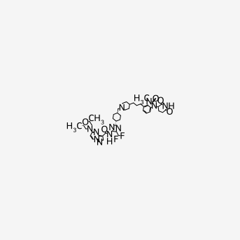 C[C@H]1CN(c2ccn3ncc(C(=O)NC4=NC([C@H]5CC[C@H](CN6CCC(CCCc7cccc8c7n(C)c(=O)n8C7CCC(=O)NC7=O)CC6)CC5)N=C4C(F)F)c3n2)C[C@H](C)O1